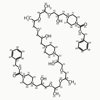 CC(COCC(O)CN1CCN(CC(O)COCC(C)OCC(C)OCC(O)CN2CCN(C(=O)OCc3ccccc3)CC2)CC1)OCC(C)OCC(O)CN1CCN(C(=O)OCc2ccccc2)CC1